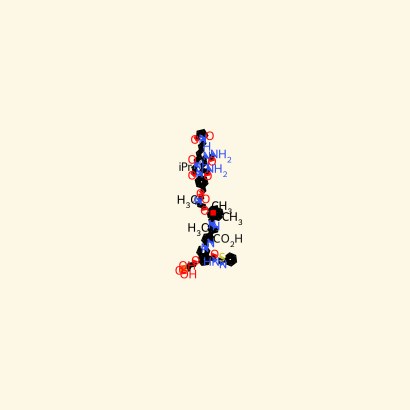 Cc1c(-c2ccc(N3CCc4c(OCCCP(=O)(O)O)ccc(C(=O)Nc5nc6ccccc6s5)c4C3)nc2C(=O)O)cnn1CC12CC3(C)CC(C)(C1)CC(OCCN(C)C(=O)OCc1ccc(N(C(=O)[C@@H](NC(=O)CCCCCN4C(=O)C=CC4=O)C(C)C)[C@@H](CCCNC(N)=O)C(N)=O)cc1)(C3)C2